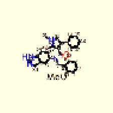 COc1ccccc1CN(C(=O)c1c(-c2ccccc2)cn(C)c1C)c1ccc2[nH]ncc2c1